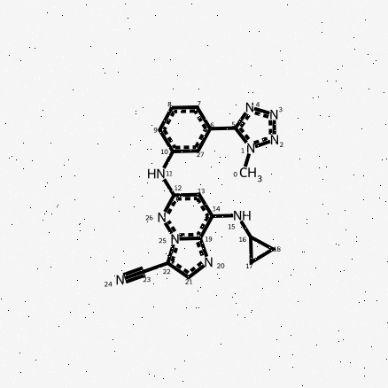 Cn1nnnc1-c1cccc(Nc2cc(NC3CC3)c3ncc(C#N)n3n2)c1